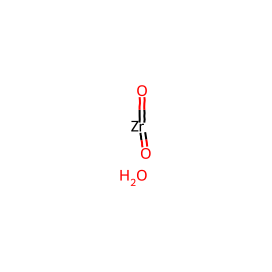 O.[O]=[Zr]=[O]